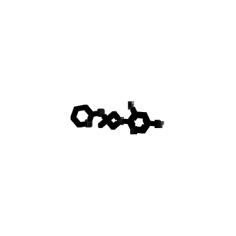 CC1(OC2CCCCO2)CN(c2ncc(Br)cc2F)C1